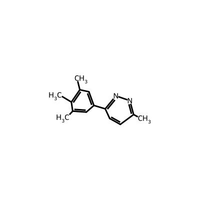 Cc1ccc(-c2cc(C)c(C)c(C)c2)nn1